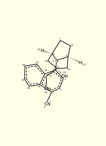 N#Cc1ccc(N2[C@@H]3CC[C@H]2C[C@@](O)(CO)C3)c2ccccc12